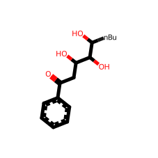 CCCCC(O)C(O)C(O)CC(=O)c1ccccc1